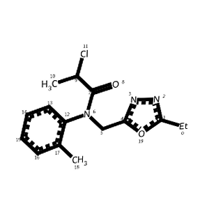 CCc1nnc(CN(C(=O)C(C)Cl)c2ccccc2C)o1